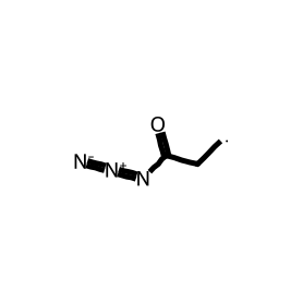 [CH2]CC(=O)N=[N+]=[N-]